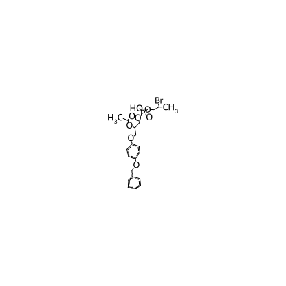 CC(=O)OC(COc1ccc(OCc2ccccc2)cc1)COP(=O)(O)OCC(C)Br